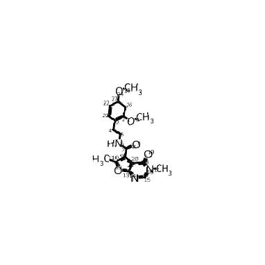 COC1=C(CCNC(=O)c2c(C)oc3ncn(C)c(=O)c23)C=CC(OC)C1